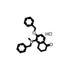 CN(Cc1ccccc1)c1c(OCc2ccccc2)ccc2c1CCCC2=O.Cl